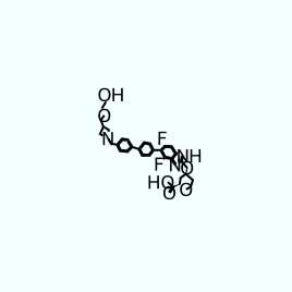 O=C(O)[C@H]1C[C@@H](Oc2nc3c(F)c(-c4ccc(-c5ccc(CN6CC(COCCO)C6)cc5)cc4)c(F)cc3[nH]2)CCO1